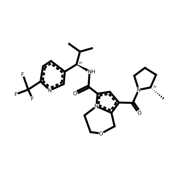 CC(C)[C@@H](NC(=O)c1cc(C(=O)N2CCC[C@@H]2C)c2n1CCOC2)c1ccc(C(F)(F)F)nc1